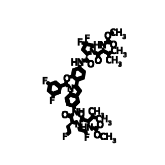 COC(=O)N[C@H](C(=O)N(CCF)[C@@H](CCF)C(=O)Nc1ccc2c(c1)cc1n2C(c2cc(F)cc(F)c2)Oc2cc(NC(=O)[C@@H]3CC(F)(F)CN3C(=O)[C@@H](NC(=O)OC)C(C)C)ccc2-1)C(C)C